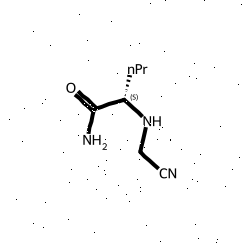 CCC[C@H](NCC#N)C(N)=O